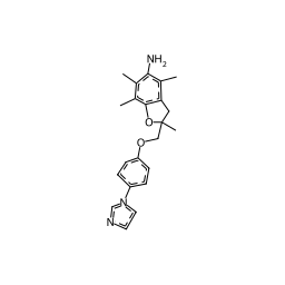 Cc1c(C)c2c(c(C)c1N)CC(C)(COc1ccc(-n3ccnc3)cc1)O2